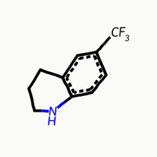 FC(F)(F)c1ccc2c(c1)CCCN2